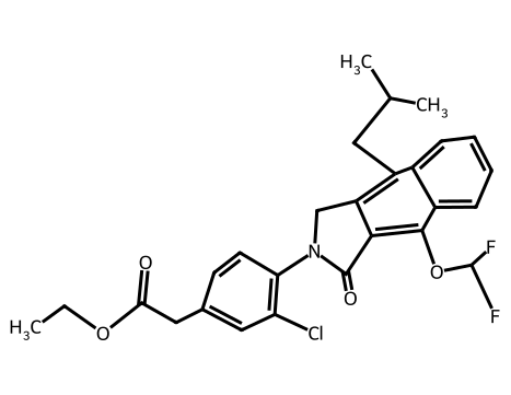 CCOC(=O)Cc1ccc(N2Cc3c(c(OC(F)F)c4ccccc4c3CC(C)C)C2=O)c(Cl)c1